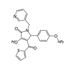 CCCOc1ccc(C2C(C(=O)c3cccs3)=C(O)C(=O)N2Cc2cccnc2)cc1